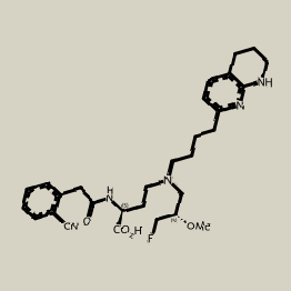 CO[C@H](CF)CN(CCCCc1ccc2c(n1)NCCC2)CC[C@H](NC(=O)Cc1ccccc1C#N)C(=O)O